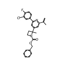 C=C(C)c1cc(C2(C)CCN2C(=O)OCc2ccccc2)cc(-c2ccc(F)c(Cl)c2)n1